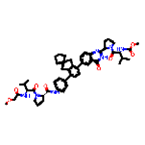 COCC(=O)N[C@H](C(=O)N1CCC[C@H]1C(=O)Nc1ccc(-c2ccc(-c3ccc4nc(C5CCCN5C(=O)[C@@H](NC(=O)OC)C(C)C)[nH]c(=O)c4c3)c3c2CC2(CCCC2)C3)cc1)C(C)C